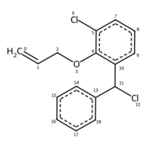 C=CCOc1c(Cl)cccc1C(Cl)c1ccccc1